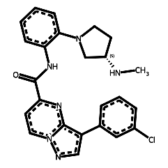 CN[C@H]1CCN(c2ccccc2NC(=O)c2ccn3ncc(-c4cccc(Cl)c4)c3n2)C1